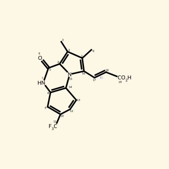 Cc1c(C)c2c(=O)[nH]c3cc(C(F)(F)F)ccc3n2c1/C=C/C(=O)O